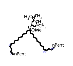 CCCCC/C=C\C/C=C\CCCCCCCCC(CCCCCCCC/C=C\C/C=C\CCCCC)(OC)O[C@H](CCN(C)C)CN(C)C